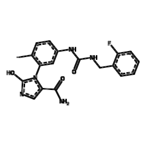 [CH2]c1ccc(NC(=O)NCc2ccccc2F)cc1-n1c(C(N)=O)cnc1O